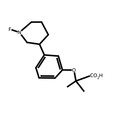 CC(C)(Oc1cccc(C2CCCN(F)C2)c1)C(=O)O